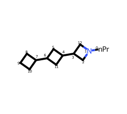 CCCN1CC(C2CC(C3CCC3)C2)C1